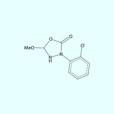 COC1NN(c2ccccc2Cl)C(=O)O1